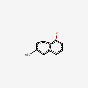 CCCCc1ccc2c([O])cccc2c1